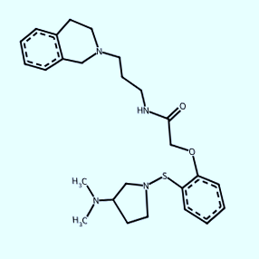 CN(C)C1CCN(Sc2ccccc2OCC(=O)NCCCN2CCc3ccccc3C2)C1